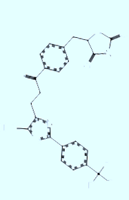 Cc1oc(-c2ccc(C(F)(F)F)cc2)nc1CCC(=O)c1ccc(CC2SC(=O)NC2=O)cc1